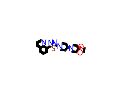 c1cnc2c(-c3nnc(N4CCC(N5CCC6(CC5)OCCO6)CC4)s3)cccc2c1